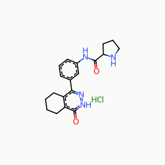 Cl.O=C(Nc1cccc(-c2n[nH]c(=O)c3c2CCCC3)c1)C1CCCN1